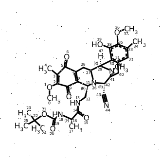 COC1=C(C)C(=O)C2=C(C1=O)[C@H](CNC(=O)[C@H](C)NC(=O)OC(C)(C)C)N1C(C2)[C@H]2c3c(cc(C)c(OC)c3O)CC([C@@H]1C#N)N2C